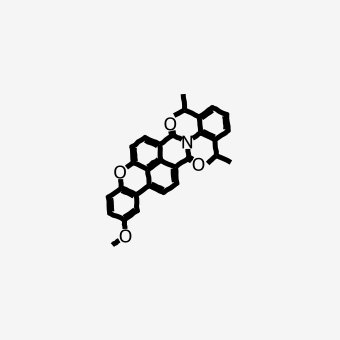 COc1ccc2oc3ccc4c(=O)n(-c5c(C(C)C)cccc5C(C)C)c(=O)c5ccc(c2c1)c3c45